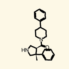 C[C@@]1(c2ccccc2)CNC[C@H]1C(=O)N1CCC(c2ccccc2)CC1